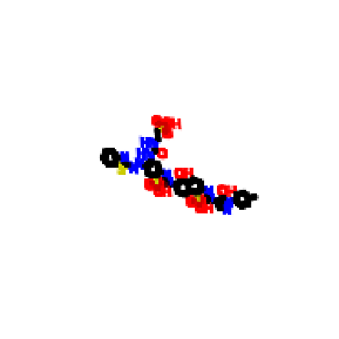 Cc1ccc(-n2ncc(N=Nc3ccc4c(O)c(N=Nc5cc(NC(=O)NCCS(=O)(=O)O)c(N=Nc6nc7ccccc7s6)cc5S(=O)(=O)O)ccc4c3S(=O)(=O)O)c2O)cc1